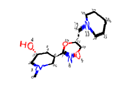 CN1C[C@H](O)C[C@@H](C2=NOC[C@@H](CN3CCCCC3)O2)C1